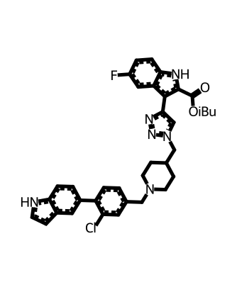 CC(C)COC(=O)c1[nH]c2ccc(F)cc2c1-c1cn(CC2CCN(Cc3ccc(-c4ccc5[nH]ccc5c4)c(Cl)c3)CC2)nn1